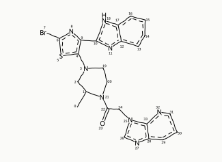 CC1CN(c2sc(Br)nc2-c2nc3ccccc3[nH]2)CCN1C(=O)Cn1cnc2cccnc21